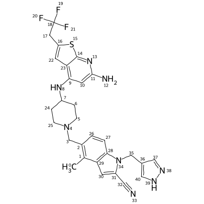 Cc1c(CN2CCC(Nc3cc(N)nc4sc(CC(F)(F)F)cc34)CC2)ccc2c1cc(C#N)n2Cc1cn[nH]c1